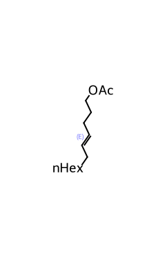 CCCCCCC/C=C/CCCOC(C)=O